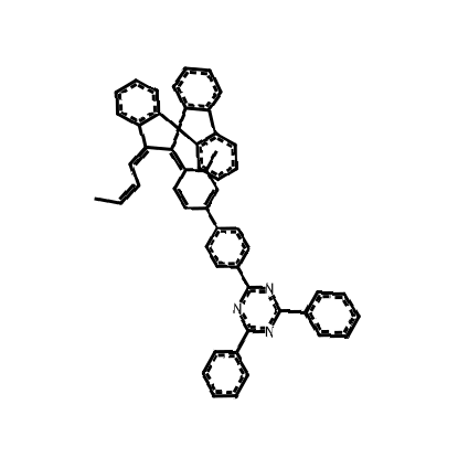 C\C=C/C=C1\C(=C2/C=CC(c3ccc(-c4nc(-c5ccccc5)nc(-c5ccccc5)n4)cc3)=CC2C)C2(c3ccccc31)c1ccccc1-c1ccccc12